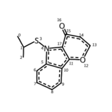 CC(C)Sn1c2ccccc2c2occc(=O)c21